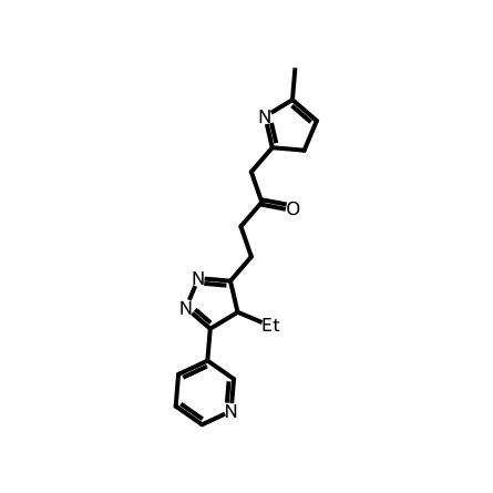 CCC1C(CCC(=O)CC2=NC(C)=CC2)=NN=C1c1cccnc1